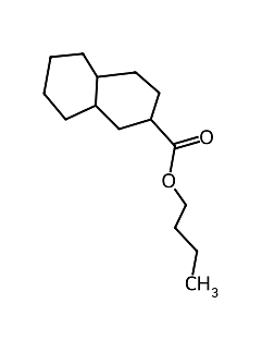 CCCCOC(=O)C1CCC2CCCCC2C1